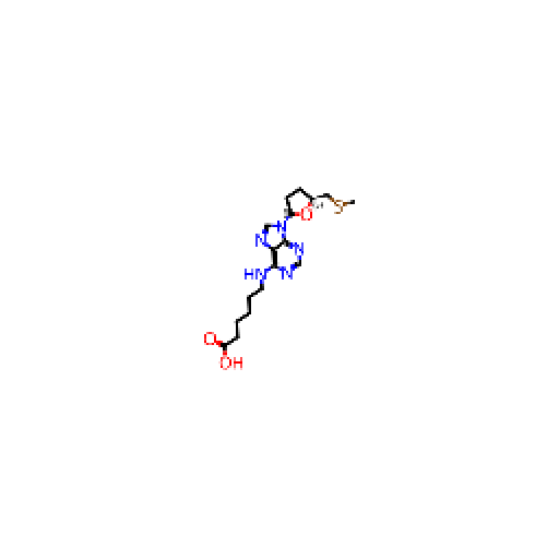 CSC[C@@H]1CC[C@H](n2cnc3c(NCCCCCC(=O)O)ncnc32)O1